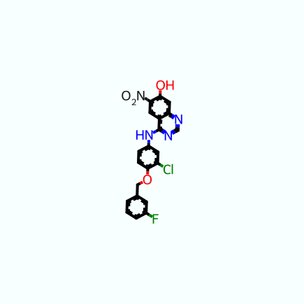 O=[N+]([O-])c1cc2c(Nc3ccc(OCc4cccc(F)c4)c(Cl)c3)ncnc2cc1O